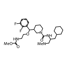 CNCC(CC1CCCCC1)NC(=O)N1CCCC(C(OCCNC(=O)OC)c2cccc(F)c2F)C1